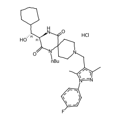 CCCCN1C(=O)[C@@H]([C@H](O)C2CCCCC2)NC(=O)C12CCN(Cc1c(C)nn(-c3ccc(F)cc3)c1C)CC2.Cl